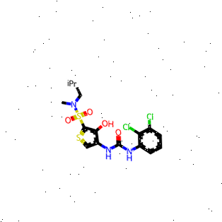 CC(C)CN(C)S(=O)(=O)c1scc(NC(=O)Nc2cccc(Cl)c2Cl)c1O